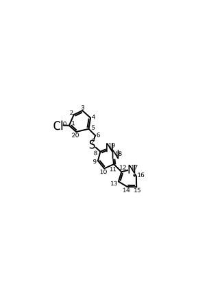 Clc1cccc(CSc2ccc(-c3ccccn3)nn2)c1